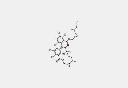 CCCC(C)C1CC1COC(=O)c1c(Cl)c(Cl)cc(Cl)c1OC(=O)C(=O)Oc1c(Cl)cc(Cl)c(Cl)c1C(=O)OCC1CC1C(C)CCC